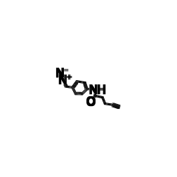 C#CCCC(=O)Nc1ccc(C=[N+]=[N-])cc1